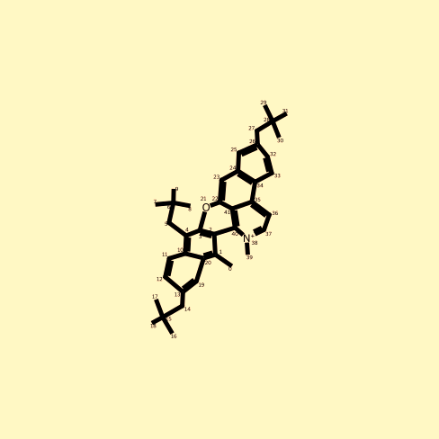 Cc1c2c(c(CC(C)(C)C)c3ccc(CC(C)(C)C)cc13)Oc1cc3cc(CC(C)(C)C)ccc3c3cc[n+](C)c-2c13